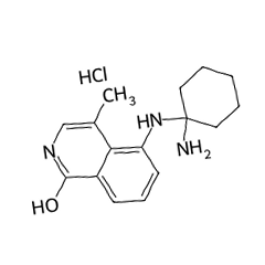 Cc1cnc(O)c2cccc(NC3(N)CCCCC3)c12.Cl